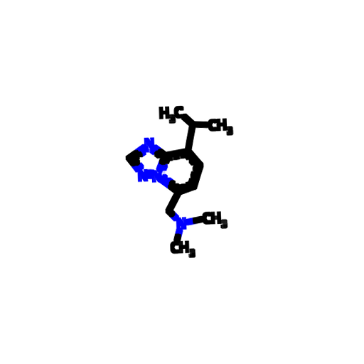 CC(C)c1ccc(CN(C)C)n2ncnc12